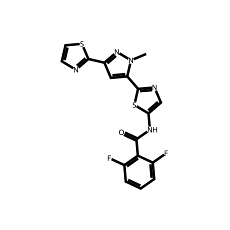 Cn1nc(-c2nccs2)cc1-c1ncc(NC(=O)c2c(F)cccc2F)s1